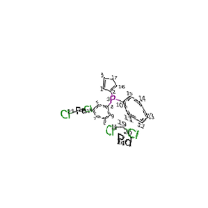 C1=CC(P(c2ccccc2)c2ccccc2)=CC1.ClCCl.[Cl][Fe][Cl].[Pd]